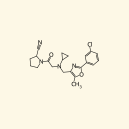 Cc1oc(-c2cccc(Cl)c2)nc1CN(CC(=O)N1CCCC1C#N)C1CC1